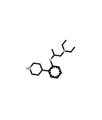 CCN(CC)CC(C)Oc1ccccc1C1CCNCC1